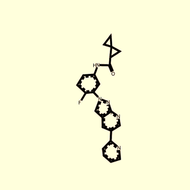 O=C(Nc1ccc(F)c(-n2cc3cc(-c4ccccn4)cnc3n2)c1)C1CC12CC2